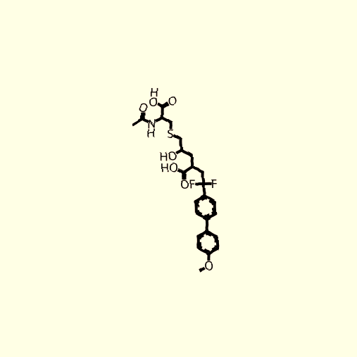 COc1ccc(-c2ccc(C(F)(F)CC(CC(O)CSCC(NC(C)=O)C(=O)O)C(=O)O)cc2)cc1